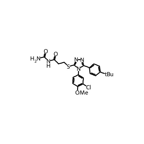 COc1ccc(-n2c(SCCC(=O)NC(N)=O)nnc2-c2ccc(C(C)(C)C)cc2)cc1Cl